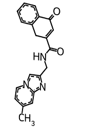 Cc1ccn2cc(CNC(=O)C3=CC(=O)c4ccccc4C3)nc2c1